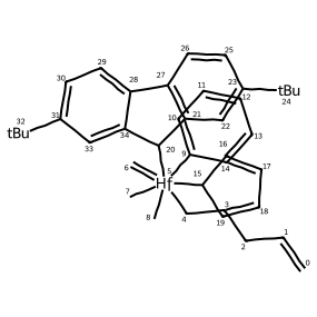 C=CCC[CH2][Hf](=[CH2])([CH3])([CH3])([c]1ccccc1)([CH]1C=CC=C1)[CH]1c2cc(C(C)(C)C)ccc2-c2ccc(C(C)(C)C)cc21